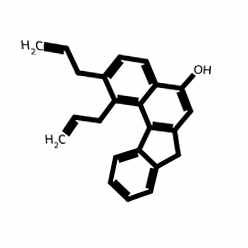 C=CCc1ccc2c(O)cc3c(c2c1CC=C)-c1ccccc1C3